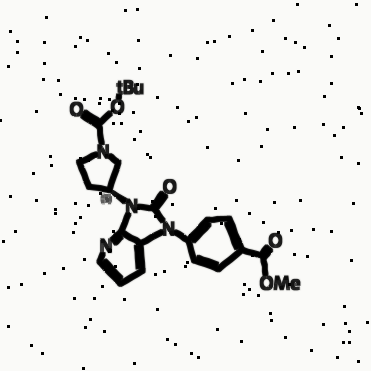 COC(=O)c1ccc(-n2c(=O)n([C@H]3CCN(C(=O)OC(C)(C)C)C3)c3ncccc32)cc1